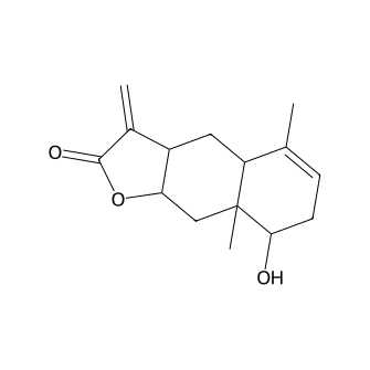 C=C1C(=O)OC2CC3(C)C(O)CC=C(C)C3CC12